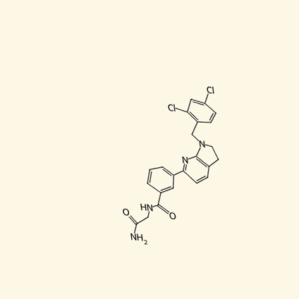 NC(=O)CNC(=O)c1cccc(-c2ccc3c(n2)N(Cc2ccc(Cl)cc2Cl)CC3)c1